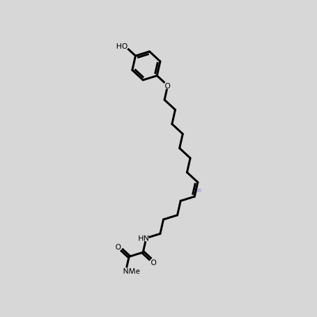 CNC(=O)C(=O)NCCCC/C=C\CCCCCCCOc1ccc(O)cc1